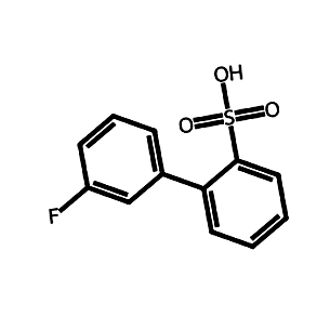 O=S(=O)(O)c1ccccc1-c1cccc(F)c1